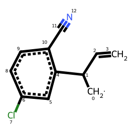 [CH2]C(C=C)c1cc(Cl)ccc1C#N